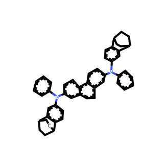 c1ccc(N(c2ccc3c(c2)C2CCC3CC2)c2ccc3c(ccc4cc(N(c5ccccc5)c5ccc6c(c5)C5CCC6CC5)ccc43)c2)cc1